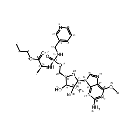 CCCOC(=O)[C@H](C)NP(=O)(NCc1cccnc1)OC[C@H]1O[C@@H](n2cnc3c(OC)nc(N)nc32)[C@@](F)(Br)C1O